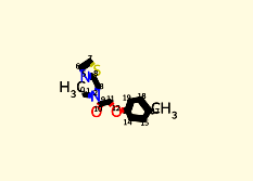 CCN(Cc1nccs1)C(=O)COc1ccc(C)cc1